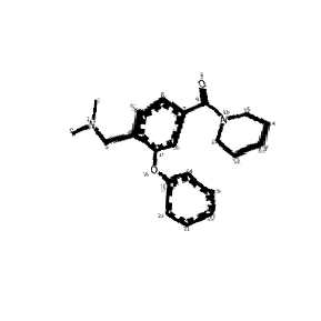 CN(C)Cc1ccc(C(=O)N2CCCCC2)cc1Oc1ccccc1